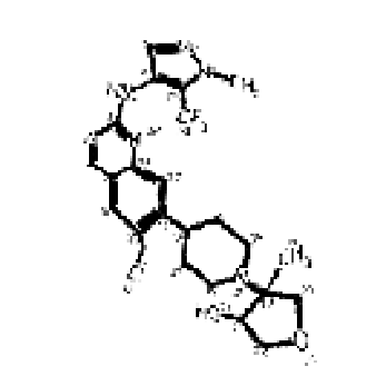 Cn1ncc(Nc2ncc3cc(Cl)c(C4CCN([C@]5(C)COCC5O)CC4)cc3n2)c1C(F)(F)F